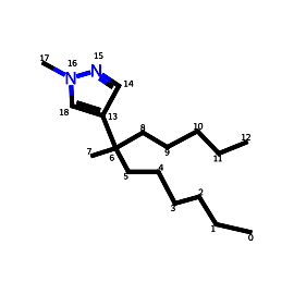 CCCCCCC(C)(CCCCC)c1cnn(C)c1